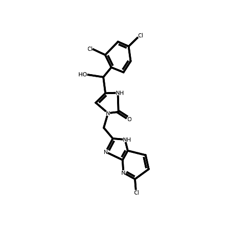 O=c1[nH]c(C(O)c2ccc(Cl)cc2Cl)cn1Cc1nc2nc(Cl)ccc2[nH]1